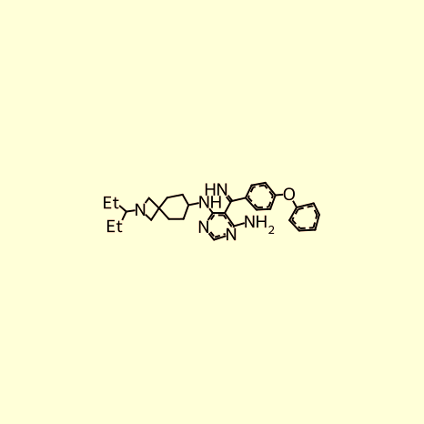 CCC(CC)N1CC2(CCC(Nc3ncnc(N)c3C(=N)c3ccc(Oc4ccccc4)cc3)CC2)C1